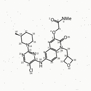 CNC(=O)COc1cc2cc(Nc3nc(N4CCC[C@H](C)C4)ncc3Cl)ccc2n(CC2COC2)c1=O